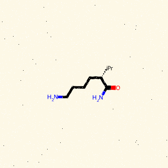 CC(C)[C@@H](CCCCN)C(N)=O